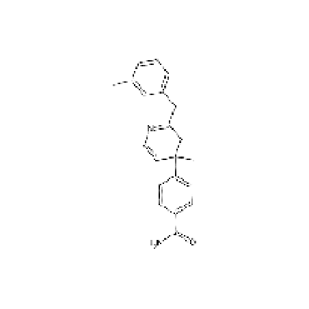 Cc1cccc(CC2=NC=CC(C)(c3ccc(C(N)=O)cc3)C2)c1